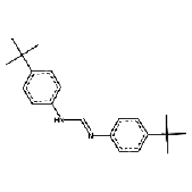 CC(C)(C)c1ccc(/N=C/Nc2ccc(C(C)(C)C)cc2)cc1